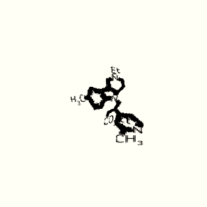 CCOC(=O)CC(Cn1c2c(c3cc(C)ccc31)CN(CC)CC2)c1ccnc(C)c1